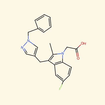 Cc1c(Cc2cnn(Cc3ccccc3)c2)c2cc(F)ccc2n1CC(=O)O